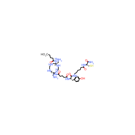 NC[C@]1(NC(=O)CCCC(=O)O)CNCCNC[C@@](CN)(NC(=O)CCCC(=O)N[C@@H](Cc2ccc(O)cc2)C(=O)NCCCCCC(=O)N[C@@H](CS)C(N)=O)NCCN1